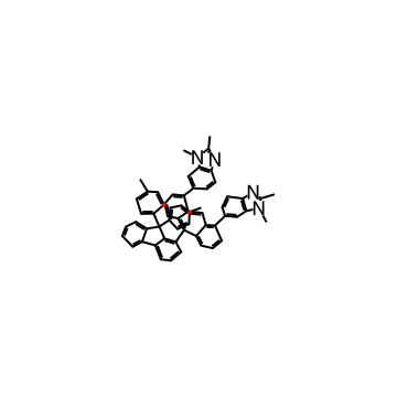 Cc1ccc(C2(c3ccc(C)cc3)c3ccccc3-c3cccc(-c4c5cccc(-c6ccc7nc(C)n(C)c7c6)c5cc5c(-c6ccc7nc(C)n(C)c7c6)cccc45)c32)cc1